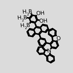 Bc1c(B)c(O)c(O)c(-c2c3ccccc3c(-c3cccc(-c4c(-n5c6ccccc6c6ccccc65)ccc5oc6ccccc6c45)c3)c3ccccc23)c1B